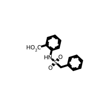 O=C(O)c1ccccc1NS(=O)(=O)Cc1ccccc1